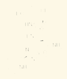 CC(O)C(NC(=O)N[C@@H](CC(N)=O)c1nc([C@@H]2CCCCN2)no1)C(=O)O